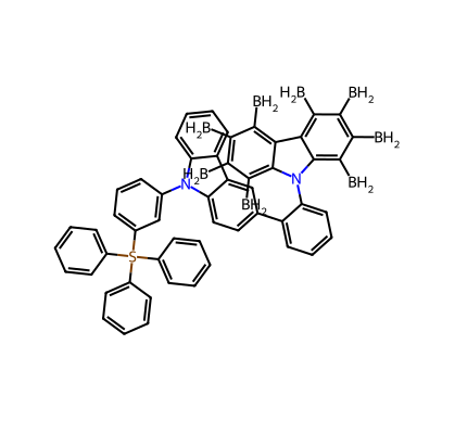 Bc1c(B)c(B)c2c(c1B)c1c(B)c(B)c(B)c(B)c1n2-c1ccccc1-c1ccc2c(c1)c1ccccc1n2-c1cccc(S(c2ccccc2)(c2ccccc2)c2ccccc2)c1